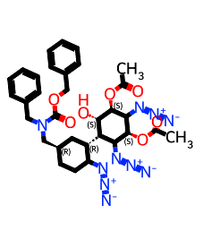 CC(=O)O[C@H]1C(N=[N+]=[N-])C([C@H]2C[C@H](CN(Cc3ccccc3)C(=O)OCc3ccccc3)CCC2N=[N+]=[N-])[C@H](O)[C@@H](OC(C)=O)C1N=[N+]=[N-]